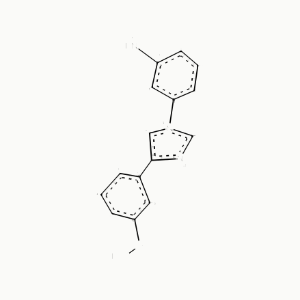 COc1cccc(-c2cn(-c3cccc(N)c3)cn2)c1